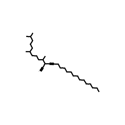 [C]#CC(C#CCCCCCCCCCCCCCC)C(C)CCCC(C)CCCC(C)C